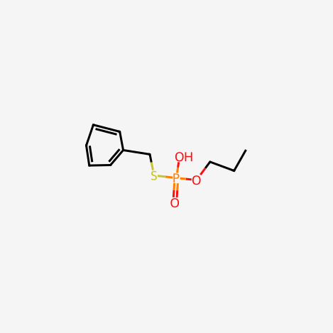 CCCOP(=O)(O)SCc1ccccc1